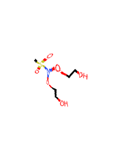 CS(=O)(=O)N(OCCO)OCCO